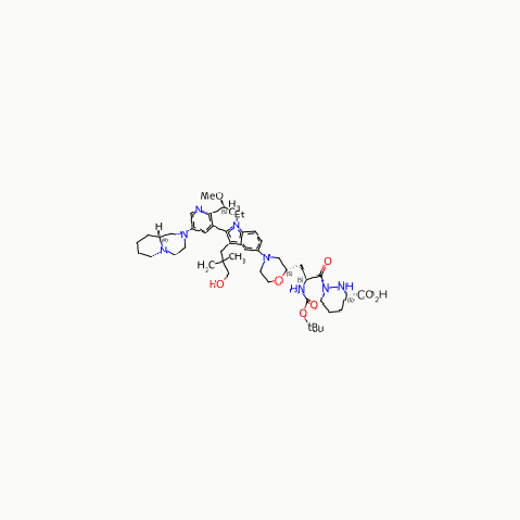 CCn1c(-c2cc(N3CCN4CCCC[C@@H]4C3)cnc2[C@H](C)OC)c(CC(C)(C)CO)c2cc(N3CCO[C@@H](C[C@H](NC(=O)OC(C)(C)C)C(=O)N4CCC[C@@H](C(=O)O)N4)C3)ccc21